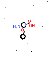 N[C@@H]1CCN(C(=O)O)C[C@@H]1OCc1ccccc1